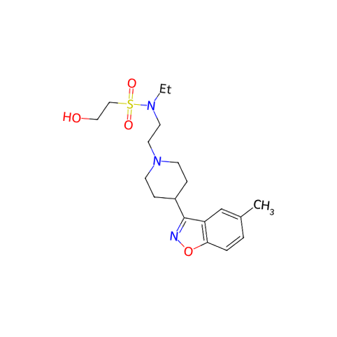 CCN(CCN1CCC(c2noc3ccc(C)cc23)CC1)S(=O)(=O)CCO